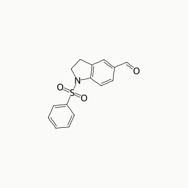 O=Cc1ccc2c(c1)CCN2S(=O)(=O)c1ccccc1